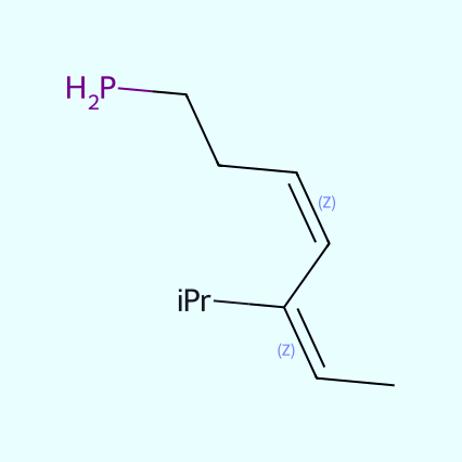 C/C=C(\C=C/CCP)C(C)C